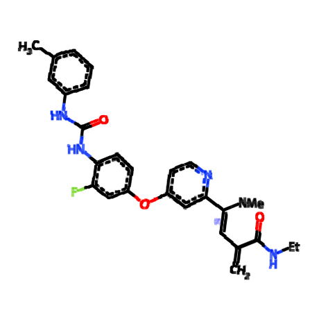 C=C(/C=C(\NC)c1cc(Oc2ccc(NC(=O)Nc3cccc(C)c3)c(F)c2)ccn1)C(=O)NCC